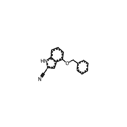 N#Cc1cc2c(OCc3ccccc3)cccc2[nH]1